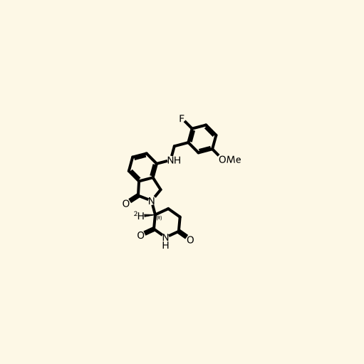 [2H][C@@]1(N2Cc3c(NCc4cc(OC)ccc4F)cccc3C2=O)CCC(=O)NC1=O